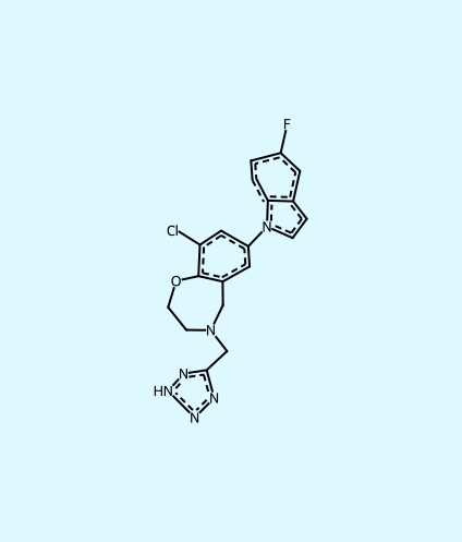 Fc1ccc2c(ccn2-c2cc(Cl)c3c(c2)CN(Cc2nn[nH]n2)CCO3)c1